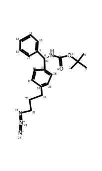 CC(C)(C)OC(=O)N[C@@H](c1ccccc1)c1ccc(CCCN=[N+]=[N-])cc1